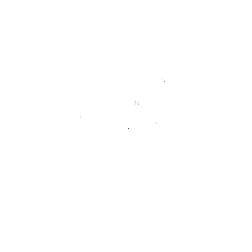 CCC(C)(C)CN(C(N)=NC#N)c1ccncc1